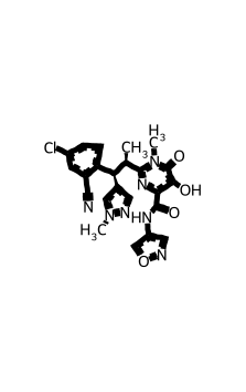 C[C@@H](c1nc(C(=O)Nc2cnoc2)c(O)c(=O)n1C)[C@@H](c1cnn(C)c1)c1ccc(Cl)cc1C#N